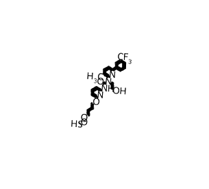 Cc1ccc(-c2cccc(C(F)(F)F)c2)nc1N(CCO)C(=O)Nc1cccc(OCCCCOOS)n1